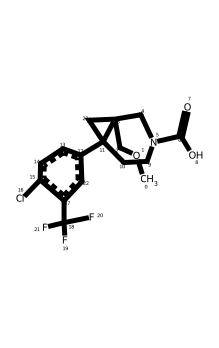 COCC12CN(C(=O)O)CCC1(c1ccc(Cl)c(C(F)(F)F)c1)C2